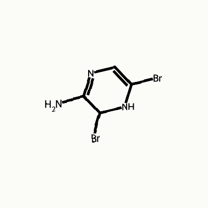 NC1=NC=C(Br)NC1Br